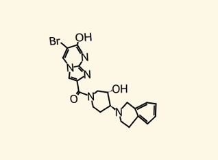 O=C(c1cn2cc(Br)c(O)nc2n1)N1CC[C@H](N2CCc3ccccc3C2)[C@@H](O)C1